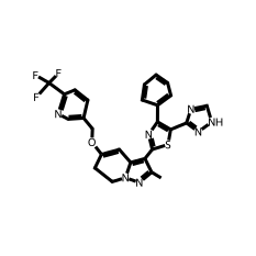 Cc1nn2c(c1-c1nc(-c3ccccc3)c(-c3nc[nH]n3)s1)C=C(OCc1ccc(C(F)(F)F)nc1)CC2